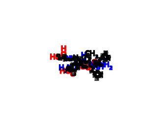 CC(C)CC(NC(=O)C(Cc1ccccc1)NC(=O)C(N)Cc1ccccc1)C(=O)NC(CCCCNCC(O)CO)C(=O)N1CCC(N)(C(=O)O)CC1